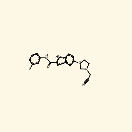 N#CCN1CC[C@H](c2ccc3[nH]c(C(=O)Nc4cccc(F)c4)cc3c2)C1